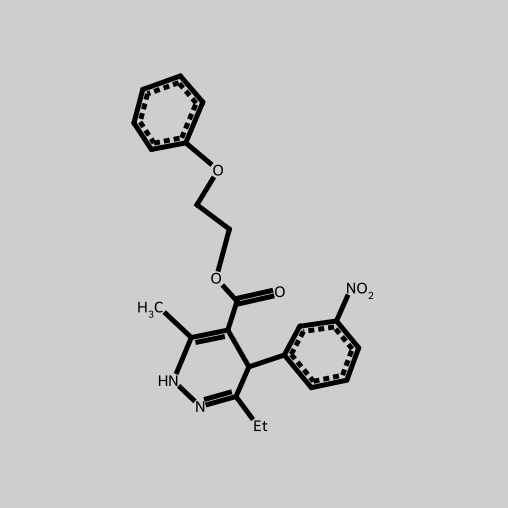 CCC1=NNC(C)=C(C(=O)OCCOc2ccccc2)C1c1cccc([N+](=O)[O-])c1